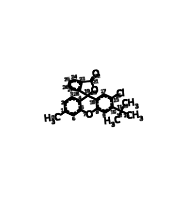 Cc1ccc2c(c1)Oc1cc(C(C)(C)C)c(Cl)cc1C21OC(=O)c2ccccc21